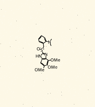 COc1cc2[nH]c([S+]([O-])Cc3ccccc3N(C)C)nc2c(OC)c1OC